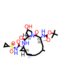 CC1CC/C=C\[C@@H]2C[C@@]2(C(=O)NS(=O)(=O)C2CC2)NC(=O)[C@@H]2CC(O)CN2C(=O)[C@@H](NC(=O)OC(C)(C)C)[C@H](C)C1